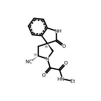 CCNC(=O)C(=O)N1C[C@]2(C[C@H]1C#N)C(=O)Nc1ccccc12